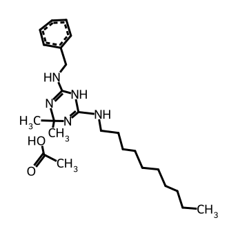 CC(=O)O.CCCCCCCCCCNC1=NC(C)(C)N=C(NCc2ccccc2)N1